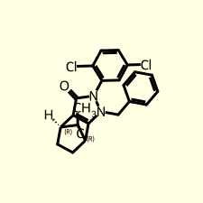 CC12C[C@]13CC[C@H]2c1c3n(Cc2ccccc2)n(-c2cc(Cl)ccc2Cl)c1=O